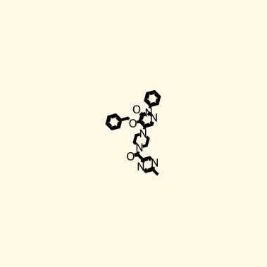 Cc1cnc(C(=O)N2CCN(c3cnn(-c4ccccc4)c(=O)c3OCc3ccccc3)CC2)cn1